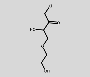 O=C(CCl)C(O)COCCO